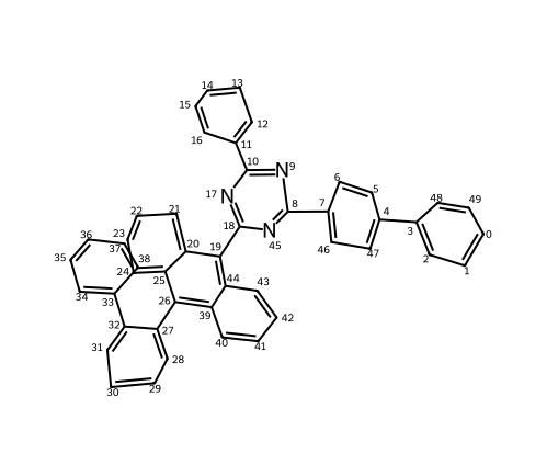 c1ccc(-c2ccc(-c3nc(-c4ccccc4)nc(-c4c5ccccc5c(-c5ccccc5-c5ccccc5)c5ccccc45)n3)cc2)cc1